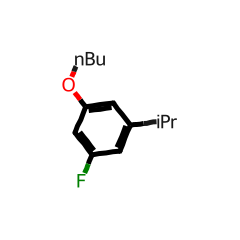 [CH2]C(C)c1cc(F)cc(OCCCC)c1